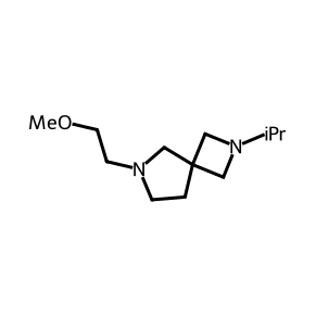 COCCN1CCC2(C1)CN(C(C)C)C2